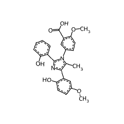 COc1ccc(O)c(-c2nc(-c3ccccc3O)n(-c3ccc(OC)c(C(=O)O)c3)c2C)c1